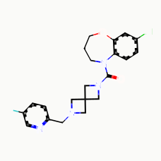 O=C(N1CC2(CN(Cc3ccc(F)cn3)C2)C1)N1CCCOc2cc(Cl)ccc21